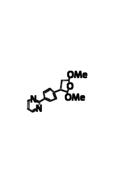 COC1CC(c2ccc(-c3ncccn3)cc2)C(OC)O1